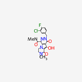 CNC(=O)c1nn(Cc2ccc(F)c(Cl)c2)c(=O)c2c(O)c3n(c12)CCN(C)C3=O